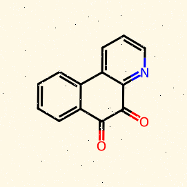 O=C1C(=O)c2ncccc2-c2ccccc21